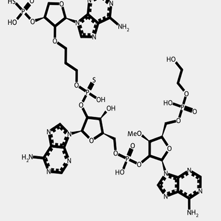 CO[C@@H]1C(OP(=O)(O)OC[C@H]2O[C@@H](n3cnc4c(N)ncnc43)C(OP(O)(=S)OCCCOC3[C@@H](OP(=O)(O)S)CO[C@H]3n3cnc4c(N)ncnc43)[C@H]2O)[C@H](n2cnc3c(N)ncnc32)O[C@@H]1COP(=O)(O)OCCO